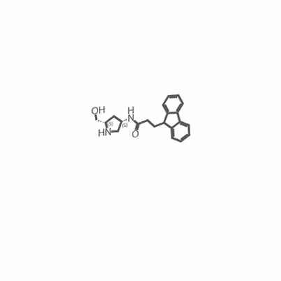 O=C(CCC1c2ccccc2-c2ccccc21)N[C@@H]1CN[C@H](CO)C1